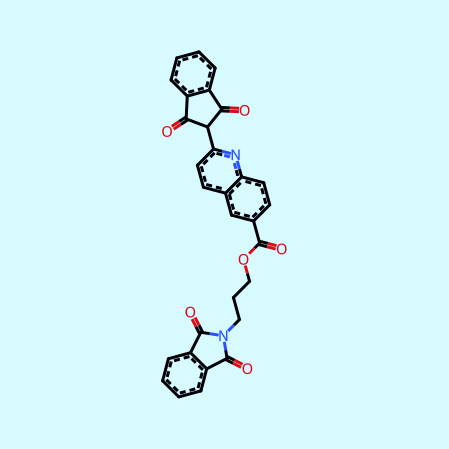 O=C(OCCCN1C(=O)c2ccccc2C1=O)c1ccc2nc(C3C(=O)c4ccccc4C3=O)ccc2c1